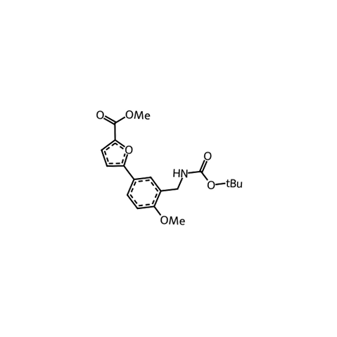 COC(=O)c1ccc(-c2ccc(OC)c(CNC(=O)OC(C)(C)C)c2)o1